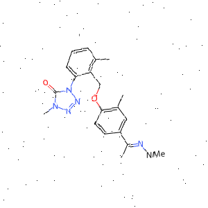 CNN=C(C)c1ccc(OCc2c(C)cccc2-n2nnn(C)c2=O)c(C)c1